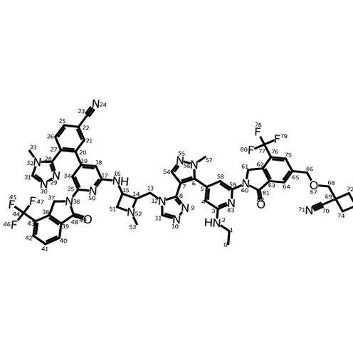 CCNc1cc(-c2c(-c3nncn3CC3C(Nc4cc(-c5cc(C#N)ccc5-c5nncn5C)cc(N5Cc6c(cccc6C(F)(F)F)C5=O)n4)CN3C)cnn2C)cc(N2Cc3c(cc(COCC4(C#N)CCC4)cc3C(F)(F)F)C2=O)n1